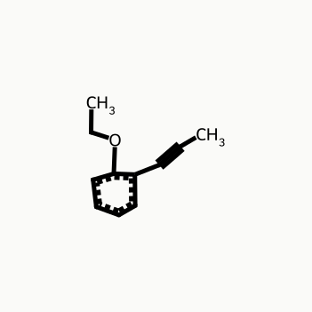 CC#Cc1ccccc1OCC